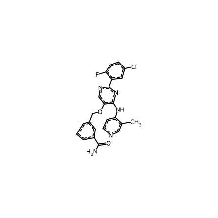 Cc1cnccc1Nc1nc(-c2cc(Cl)ccc2F)ncc1OCc1cccc(C(N)=O)c1